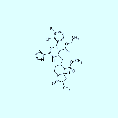 CCOC(=O)C1=C(CN2CCN3C(=O)N(C)C[C@H]3[C@@H]2C(=O)OC)NC(c2nccs2)=N[C@H]1c1cccc(F)c1Cl